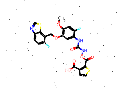 COc1cc(F)c(NC(=O)NOC(=O)c2sccc2C(=O)O)cc1OCc1c(F)ccc2ncsc12